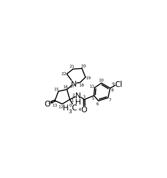 CC1(NC(=O)c2ccc(Cl)cc2)CC(=O)CC1N1CCCCC1